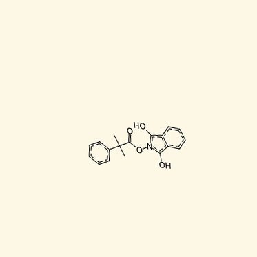 CC(C)(C(=O)On1c(O)c2ccccc2c1O)c1ccccc1